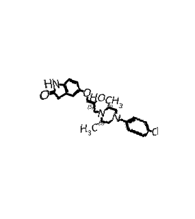 C[C@@H]1CN(c2ccc(Cl)cc2)C[C@H](C)N1C[C@H](O)COc1ccc2c(c1)CC(=O)N2